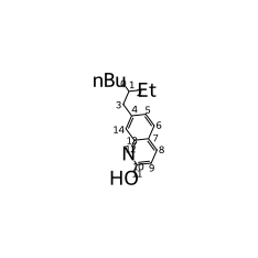 CCCCC(CC)Cc1ccc2ccc(O)nc2c1